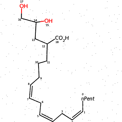 CCCCC/C=C\C/C=C\C/C=C\CCCC(CC(O)CO)C(=O)O